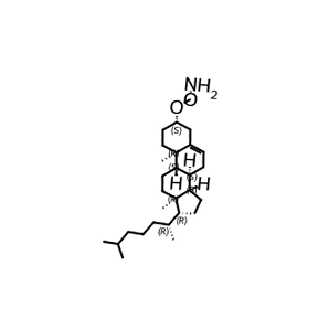 CC(C)CCC[C@@H](C)[C@H]1CC[C@H]2[C@@H]3CC=C4C[C@@H](OON)CC[C@]4(C)[C@H]3CC[C@]12C